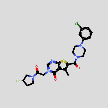 Cc1c(C(=O)N2CCN(c3cccc(Cl)c3)CC2)sc2ncn(CC(=O)N3CC[C@H](F)C3)c(=O)c12